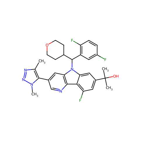 Cc1nnn(C)c1-c1cnc2c3c(F)cc(C(C)(C)O)cc3n(C(c3cc(F)ccc3F)C3CCOCC3)c2c1